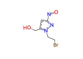 O=Nc1cc(CO)n(CCBr)n1